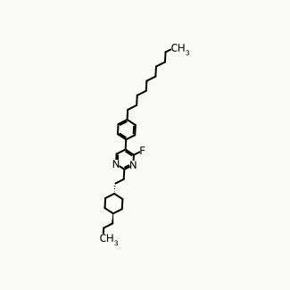 CCCCCCCCCCc1ccc(-c2cnc(CC[C@H]3CC[C@H](CCC)CC3)nc2F)cc1